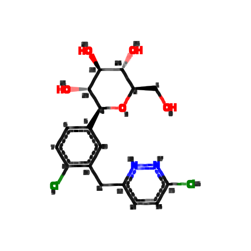 OC[C@H]1O[C@@H](c2ccc(Cl)c(Cc3ccc(Cl)nn3)c2)[C@H](O)[C@@H](O)[C@@H]1O